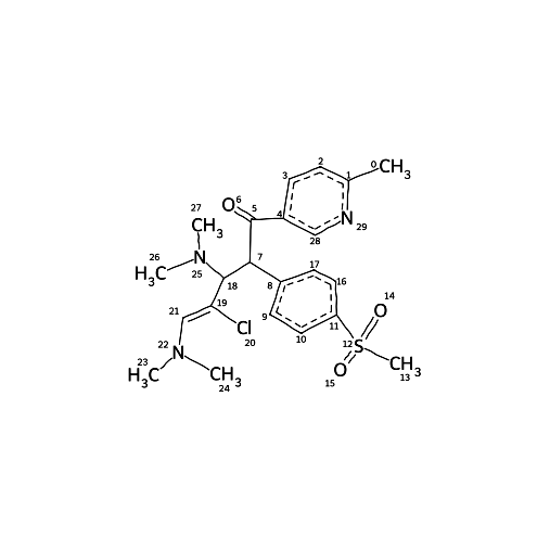 Cc1ccc(C(=O)C(c2ccc(S(C)(=O)=O)cc2)C(C(Cl)=CN(C)C)N(C)C)cn1